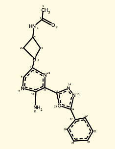 CC(=O)NC1CN(c2cnc(N)c(-c3nnc(-c4ccccc4)o3)n2)C1